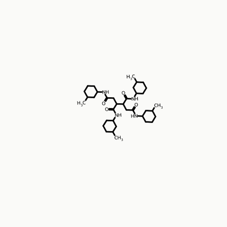 CC1CCCC(NC(=O)CC(C(=O)NC2CCCC(C)C2)C(CC(=O)NC2CCCC(C)C2)C(=O)NC2CCCC(C)C2)C1